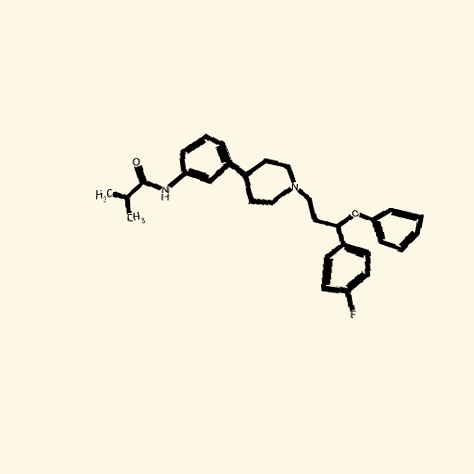 CC(C)C(=O)Nc1cccc(C2CCN(CCC(Oc3ccccc3)c3ccc(F)cc3)CC2)c1